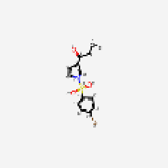 CCC(=O)c1ccn(S(=O)(=O)c2ccc(Br)cc2)c1